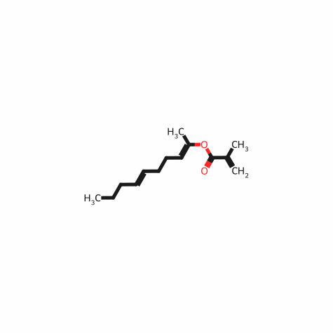 C=C(C)C(=O)OC(C)=CCCC=CCCC